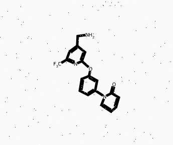 NCc1cc(Oc2cccc(-n3ccccc3=O)c2)nc(C(F)(F)F)c1